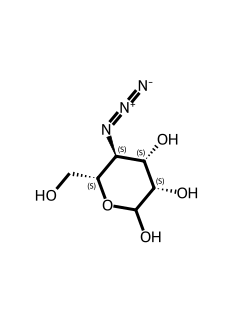 [N-]=[N+]=N[C@H]1[C@H](O)[C@H](O)C(O)O[C@@H]1CO